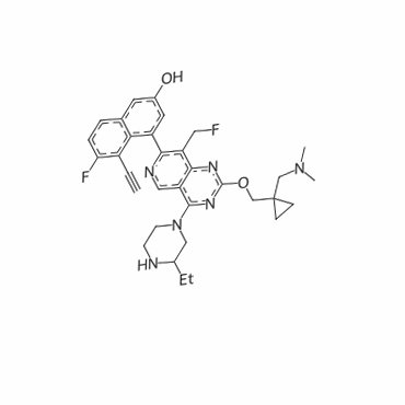 C#Cc1c(F)ccc2cc(O)cc(-c3ncc4c(N5CCNC(CC)C5)nc(OCC5(CN(C)C)CC5)nc4c3CF)c12